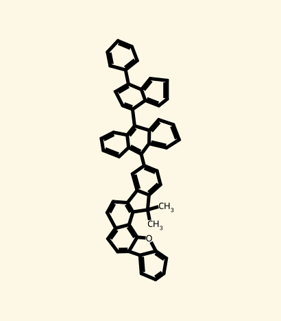 CC1(C)c2ccc(-c3c4ccccc4c(-c4ccc(-c5ccccc5)c5ccccc45)c4ccccc34)cc2-c2ccc3ccc4c5ccccc5oc4c3c21